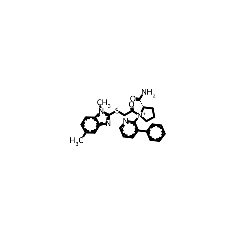 Cc1ccc2c(c1)nc(SCC(=O)[N+]1(c3ncccc3-c3ccccc3)CCC[C@H]1C(N)=O)n2C